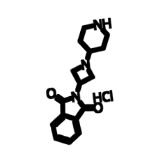 Cl.O=C1c2ccccc2C(=O)N1C1CN(C2CCNCC2)C1